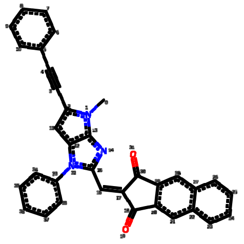 Cn1c(C#Cc2ccccc2)cc2c1nc(C=C1C(=O)c3cc4ccccc4cc3C1=O)n2-c1ccccc1